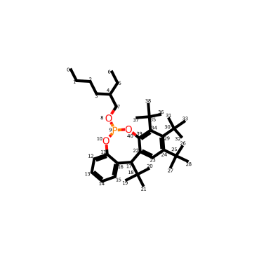 CCCCC(CC)COP1Oc2ccccc2C(C(C)(C)C)c2cc(C(C)(C)C)c(C(C)(C)C)c(C(C)(C)C)c2O1